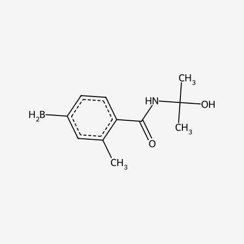 Bc1ccc(C(=O)NC(C)(C)O)c(C)c1